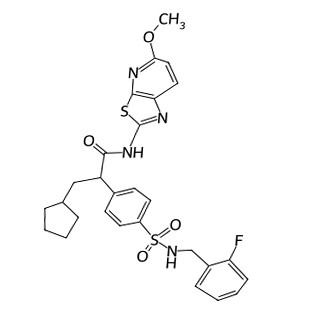 COc1ccc2nc(NC(=O)C(CC3CCCC3)c3ccc(S(=O)(=O)NCc4ccccc4F)cc3)sc2n1